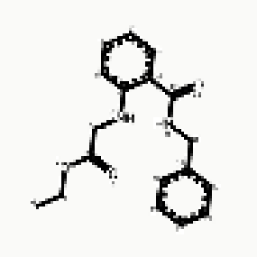 CCOC(=O)CNc1ccccc1C(=O)NCc1ccccc1